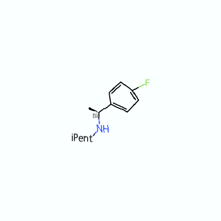 CCCC(C)N[C@@H](C)c1ccc(F)cc1